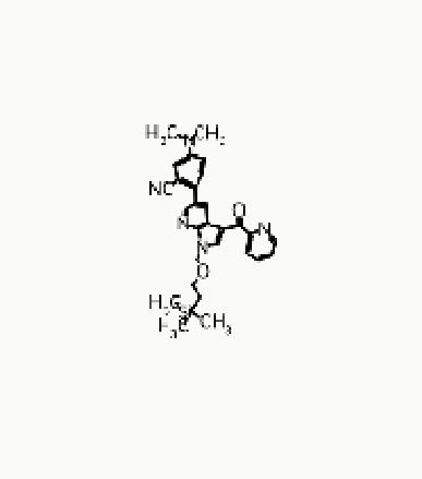 CN(C)c1ccc(-c2cnc3c(c2)c(C(=O)c2ccccn2)cn3COCC[Si](C)(C)C)c(C#N)c1